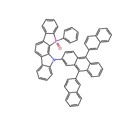 O=P1(c2ccccc2)c2ccccc2-c2ccc3c4ccccc4n(-c4ccc5c(-c6ccc7ccccc7c6)c6ccccc6c(-c6ccc7ccccc7c6)c5c4)c3c21